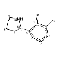 Cc1cccc([C@@H]2CCCN2)c1C